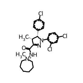 C[C@H]1C(C(=O)N[N+]2(C)CCCCCC2)=NN(c2ccc(Cl)cc2Cl)[C@H]1c1ccc(Cl)cc1